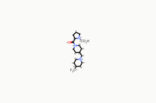 O=C(C1CCCN1C(=O)O)N1CCC(CN2CCC(C(F)(F)F)CC2)CC1